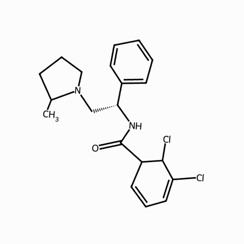 CC1CCCN1C[C@@H](NC(=O)C1C=CC=C(Cl)C1Cl)c1ccccc1